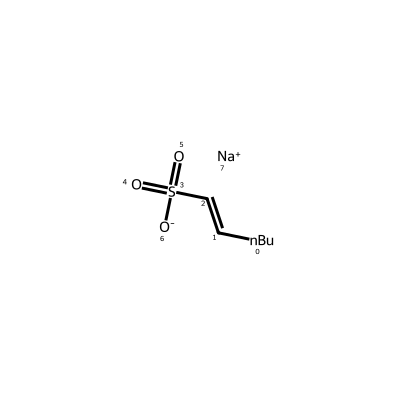 CCCCC=CS(=O)(=O)[O-].[Na+]